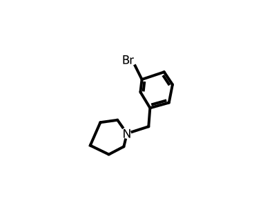 Brc1cccc(CN2CCCCC2)c1